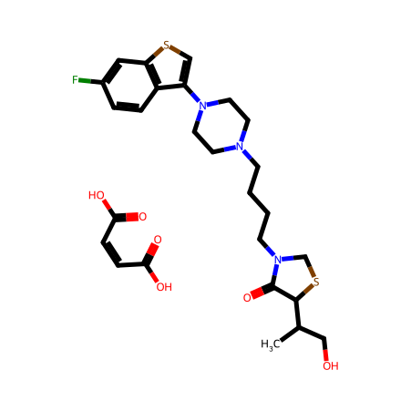 CC(CO)C1SCN(CCCCN2CCN(c3csc4cc(F)ccc34)CC2)C1=O.O=C(O)/C=C\C(=O)O